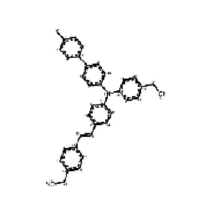 Cc1ccc(-c2ccc(N(c3ccc(C=Cc4ccc(CO)cc4)cc3)c3ccc(CO)cc3)cc2)cc1